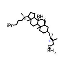 BOC/C(C)=C/OC1CCC2(C)C(=CCC3(B)C2CCC2(C)C([C@H](C)CCCC(C)C)CCC32)C1